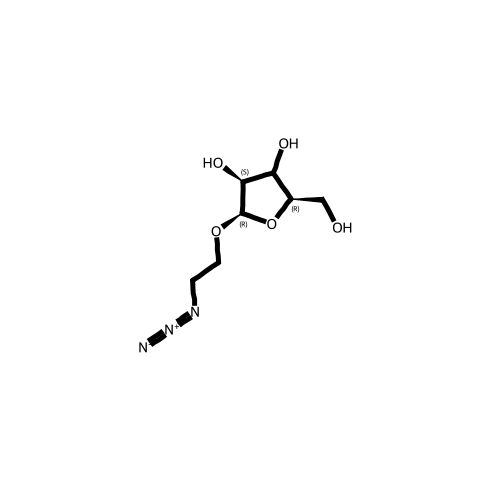 [N-]=[N+]=NCCO[C@@H]1O[C@H](CO)C(O)[C@@H]1O